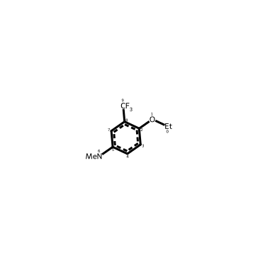 CCOc1ccc(NC)cc1C(F)(F)F